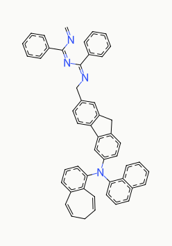 C=N/C(=N\C(=N/Cc1ccc2c(c1)Cc1ccc(N(c3cccc4c3C=CCC=C4)c3cccc4ccccc34)cc1-2)c1ccccc1)c1ccccc1